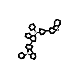 c1ccc(N(c2ccc(-c3ccc4sc5ccccc5c4c3)cc2)c2ccc(-c3ccc4c(c3)c3ccccc3n4-c3ccccc3)c3ccccc23)cc1